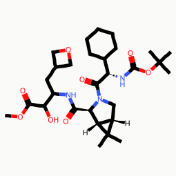 COC(=O)C(O)C(CC1COC1)NC(=O)[C@@H]1[C@@H]2[C@H](CN1C(=O)[C@@H](NC(=O)OC(C)(C)C)C1CCCCC1)C2(C)C